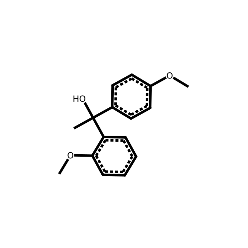 COc1ccc(C(C)(O)c2ccccc2OC)cc1